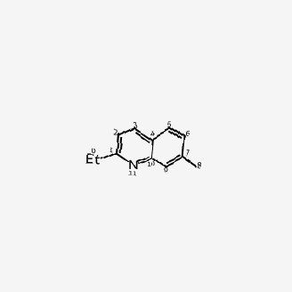 CCc1ccc2ccc(C)cc2n1